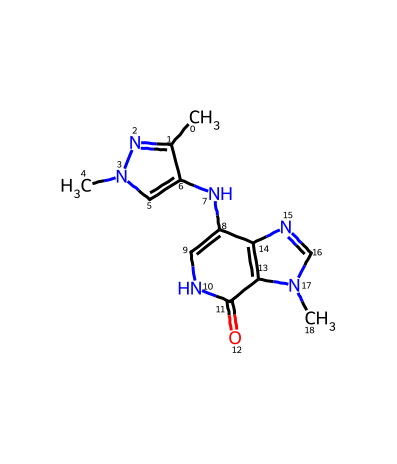 Cc1nn(C)cc1Nc1c[nH]c(=O)c2c1ncn2C